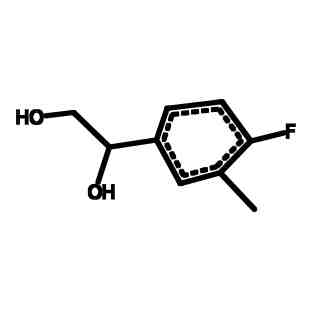 Cc1cc(C(O)CO)ccc1F